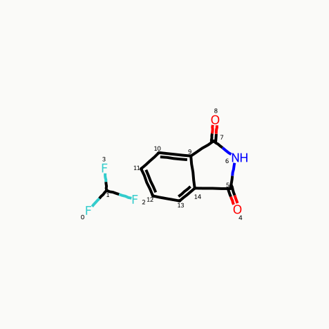 FC(F)F.O=C1NC(=O)c2ccccc21